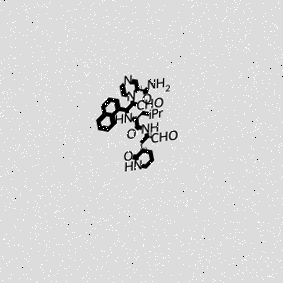 CC(C)C[C@H](NC(c1cccc2ccccc12)C(C=O)N1C=CN=C[C@H]1C(N)=O)C(=O)N[C@H](C=O)C[C@@H]1CCCNC1=O